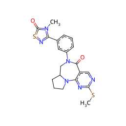 CSc1ncc2c(n1)N1CCCC1CN(c1cccc(-c3nsc(=O)n3C)c1)C2=O